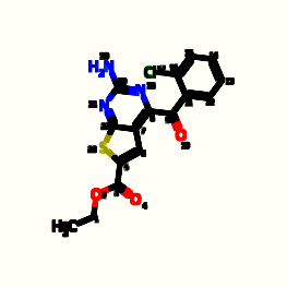 CCOC(=O)c1cc2c(C(=O)c3ccccc3Cl)nc(N)nc2s1